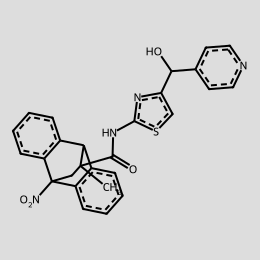 CC1(C(=O)Nc2nc(C(O)c3ccncc3)cs2)CC2([N+](=O)[O-])c3ccccc3C1c1ccccc12